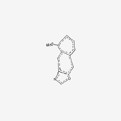 COc1cccc2cc3ocnc3cc12